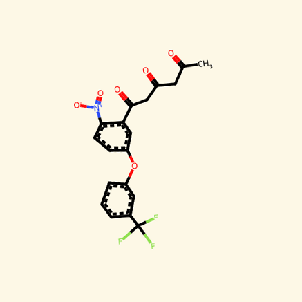 CC(=O)CC(=O)CC(=O)c1cc(Oc2cccc(C(F)(F)F)c2)ccc1[N+](=O)[O-]